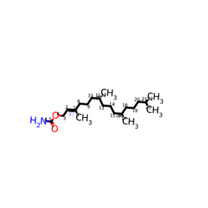 C/C(=C\COC(N)=O)CCC[C@H](C)CCC[C@H](C)CCCC(C)C